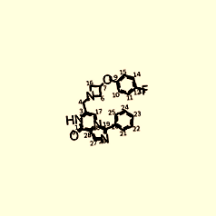 O=c1[nH]c(CN2CC(Oc3ccc(F)cc3)C2)cn2c(-c3ccccc3)ncc12